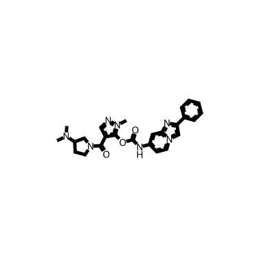 CN(C)C1CCN(C(=O)c2cnn(C)c2OC(=O)Nc2ccn3cc(-c4ccccc4)nc3c2)C1